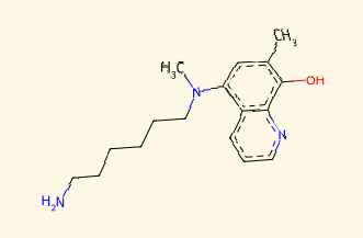 Cc1cc(N(C)CCCCCCN)c2cccnc2c1O